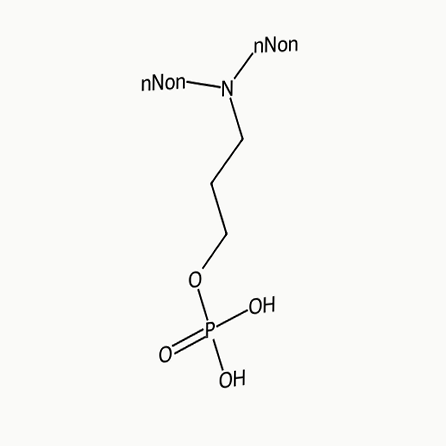 CCCCCCCCCN(CCCCCCCCC)CCCOP(=O)(O)O